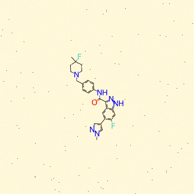 Cn1cc(-c2cc3c(C(=O)Nc4ccc(CN5CCC(C)(F)CC5)cc4)n[nH]c3cc2F)cn1